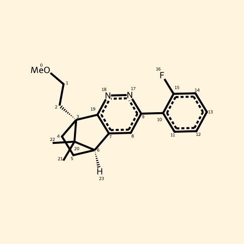 COCC[C@]12CC[C@H](c3cc(-c4ccccc4F)nnc31)C2(C)C